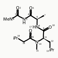 CNC(=O)NC(=O)[C@@H](C)NC(=O)[C@@H](CC(C)C)N(C)C(=O)CC(C)C